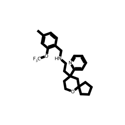 Cc1ccc(CNCCC2(c3ccccn3)CCOC3(CCCC3)C2)c(OC(F)(F)F)c1